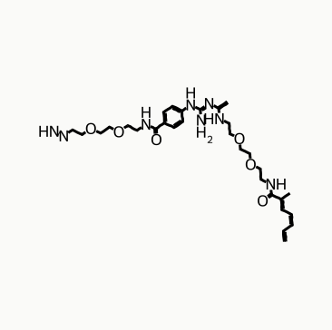 C=C/C=C\C=C(/C)C(=O)NCCOCCOCCNC(=C)/N=C(\N)Nc1ccc(C(=O)NCCOCCOCCN=N)cc1